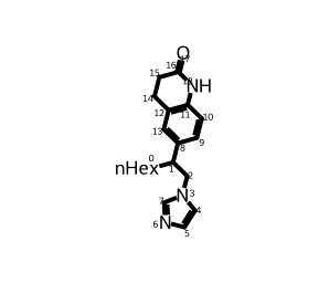 CCCCCCC(Cn1ccnc1)c1ccc2c(c1)CCC(=O)N2